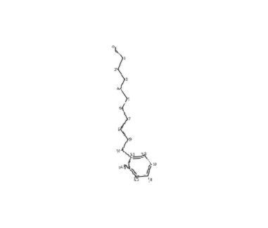 ICCCCCCCCCCc1ccccn1